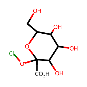 O=C(O)C1(OCl)OC(CO)C(O)C(O)C1O